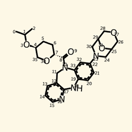 CC(C)O[C@H]1CC[C@H](C(=O)N2Cc3cccnc3Nc3ccc(N4CC5COCC(C4)O5)cc32)OC1